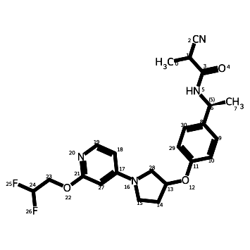 CC(C#N)C(=O)N[C@@H](C)c1ccc(OC2CCN(c3ccnc(OCC(F)F)c3)C2)cc1